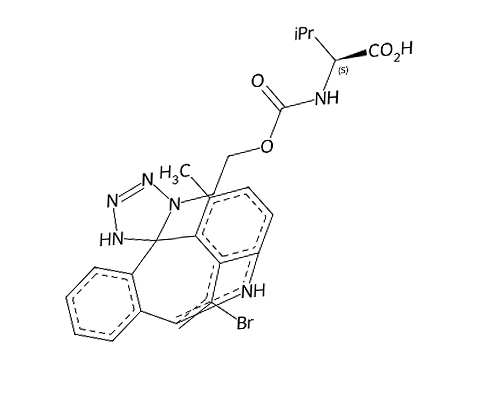 Cc1ccc2[nH]c3c(Br)c2c1C1(NN=NN1CCOC(=O)N[C@H](C(=O)O)C(C)C)c1ccccc1-3